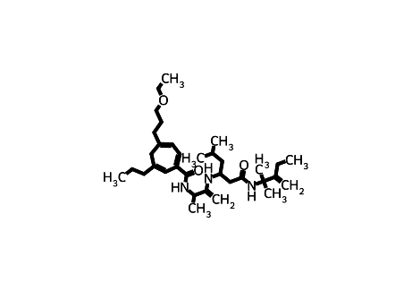 C=C(NC(CC(=O)NC(C)(C)C(=C)CC)CC(C)C)C(C)NC(=O)C1=CC=C(CCCOCC)CC(CCC)=C1